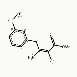 COC(=O)C(C(C)=O)=C(N)Cc1cccc(OC(F)(F)F)c1